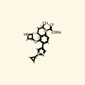 COC(=O)N1c2ccc(-c3cnn(C4CC4)c3)c(OC3CNC3)c2CCC1C